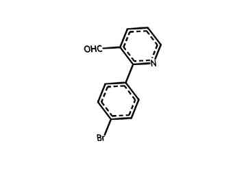 O=Cc1cccnc1-c1ccc(Br)cc1